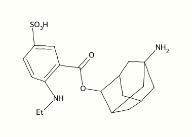 CCNc1ccc(S(=O)(=O)O)cc1C(=O)OC1C2CC3CC1CC(N)(C3)C2